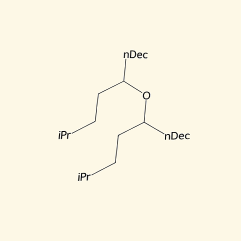 CCCCCCCCCCC(CCC(C)C)OC(CCCCCCCCCC)CCC(C)C